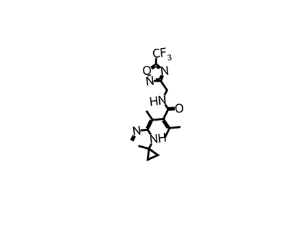 C=N/C(NC1(C)CC1)=C(\C)C(C(=O)NCc1noc(C(F)(F)F)n1)=C(C)C